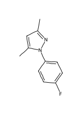 Cc1cc(C)n(-c2ccc(F)cc2)n1